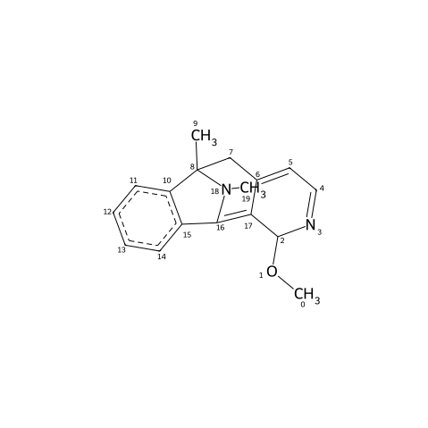 COC1N=CC=C2CC3(C)c4ccccc4C(=C21)N3C